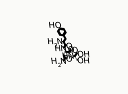 NC(=O)C[C@H](NC(=O)[C@@H](N)Cc1ccc(O)cc1)C(=O)N[C@@H](CO)C(=O)O